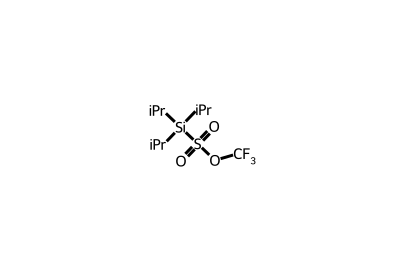 CC(C)[Si](C(C)C)(C(C)C)S(=O)(=O)OC(F)(F)F